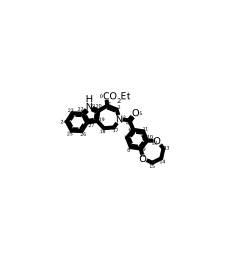 CCOC(=O)C1=CN(C(=O)c2ccc3c(c2)OCCCO3)CCc2c1[nH]c1ccccc21